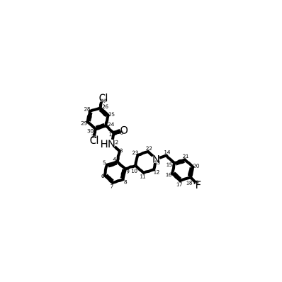 O=C(NCc1ccccc1C1CCN(Cc2ccc(F)cc2)CC1)c1cc(Cl)ccc1Cl